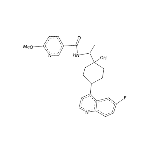 COc1ccc(C(=O)NC(C)C2(O)CCC(c3ccnc4ccc(F)cc34)CC2)cn1